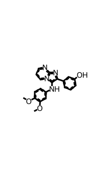 COc1ccc(Nc2c(-c3cccc(O)c3)nc3ncccn23)cc1OC